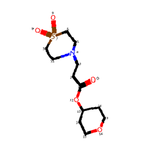 O=C(CCN1CCS(=O)(=O)CC1)OC1CCOCC1